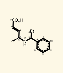 CCC(N[C@@H](C)C=CC(=O)O)c1ccccc1